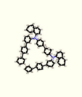 c1ccc(-c2ccc(-c3cccc(N(c4ccc(-c5ccc(N(c6cccc(-c7ccc(-c8ccccc8)cc7)c6)c6cccc7ccccc67)cc5)cc4)c4cccc5ccccc45)c3)cc2)cc1